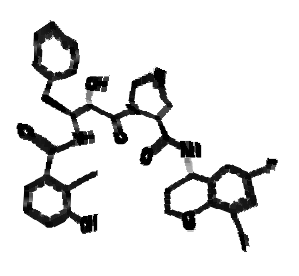 Cc1c(O)cccc1C(=O)N[C@@H](Cc1ccccc1)[C@H](O)C(=O)N1CSC[C@H]1C(=O)N[C@H]1CCOc2c(F)cc(F)cc21